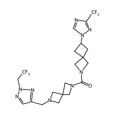 O=C(N1CC2(CC(n3cnc(C(F)(F)F)n3)C2)C1)N1CC2(CN(Cc3cnn(CC(F)(F)F)n3)C2)C1